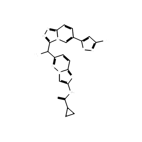 Cc1cc(-c2ccc3nnc(C(C)c4ccc5nc(NC(=O)C6CC6)cn5n4)n3c2)sn1